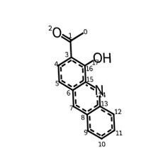 CC(=O)c1ccc2cc3ccccc3nc2c1O